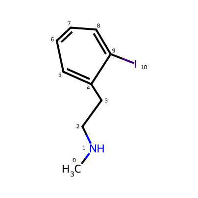 CNCCc1ccccc1I